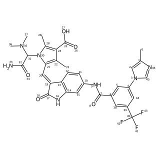 Cc1cn(-c2cc(C(=O)Nc3ccc4c(c3)NC(=O)C4=Cc3c(C)c(C(=O)O)c(C)n3C(C(N)=O)N(C)C)cc(C(F)(F)F)c2)cn1